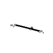 CCCCCCCCCCCCCCCCCCOC(=O)CCCCCCCCC